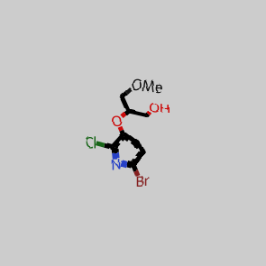 COCC(CO)Oc1ccc(Br)nc1Cl